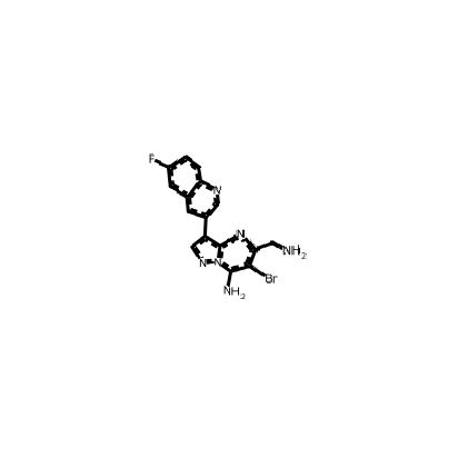 NCc1nc2c(-c3cnc4ccc(F)cc4c3)cnn2c(N)c1Br